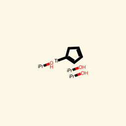 CC(C)O.CC(C)O.CC(C)O.[Ti][C]1=CC=CC1